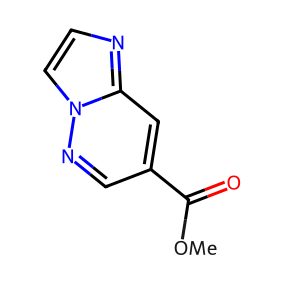 COC(=O)c1cnn2ccnc2c1